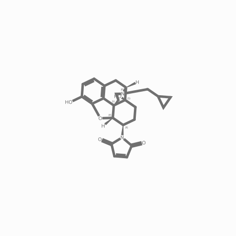 O=C1C=CC(=O)N1[C@@H]1CC[C@@]2(O)[C@H]3Cc4ccc(O)c5c4[C@@]2(CCN3CC2CC2)[C@H]1O5